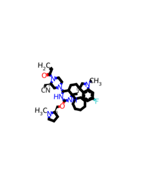 C=CC(=O)N1CCN(C2NC(OC[C@H]3CCCN3C)NC3(C4CCCCCC4)C[C@]4(CCC23)CN(C)c2cc(F)ccc24)C[C@H]1CC#N